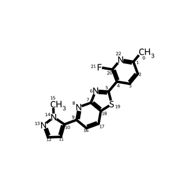 Cc1ccc(-c2nc3nc(-c4ccnn4C)ccc3s2)c(F)n1